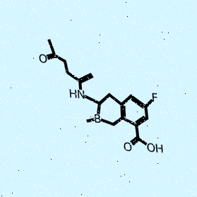 C=C(CCC(C)=O)NC1Cc2cc(F)cc(C(=O)O)c2CB1C